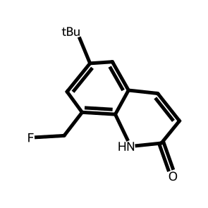 CC(C)(C)c1cc(CF)c2[nH]c(=O)ccc2c1